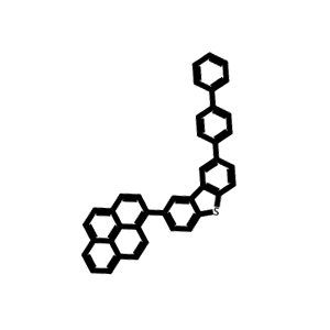 c1ccc(-c2ccc(-c3ccc4sc5ccc(-c6ccc7ccc8cccc9ccc6c7c89)cc5c4c3)cc2)cc1